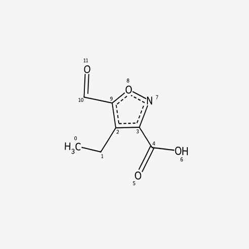 CCc1c(C(=O)O)noc1C=O